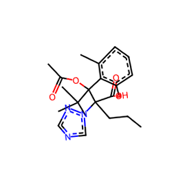 CCCC(C(=O)O)(n1cncn1)C(OC(C)=O)(c1c(C)cccc1C)C(C)(C)C